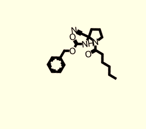 CCCCCC(=O)N1CCCC1(C#N)NC(=O)OCc1ccccc1